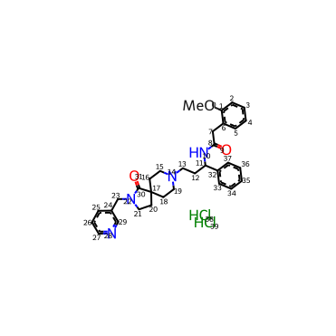 COc1ccccc1CC(=O)NC(CCN1CCC2(CC1)CCN(Cc1cccnc1)C2=O)c1ccccc1.Cl.Cl